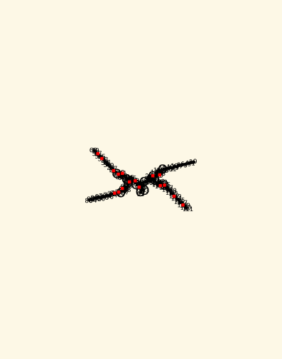 CCCCCCCCCCCCCCCCOc1ccc(COc2ccc(COc3cc(OCc4ccc(OCc5ccc(OCCCCCCCCCCCCCCCC)cc5)c(OCc5ccc(OCCCCCCCCCCCCCCCC)cc5)c4)cc(C(=O)OC)c3)cc2OCc2ccc(OCCCCCCCCCCCCCCCC)cc2)cc1